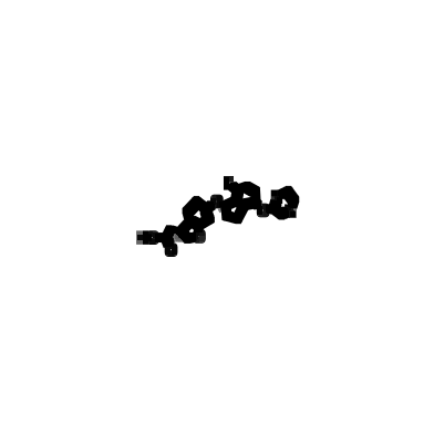 O=C(O)C[C@@H]1COc2cc(O[C@@H]3CCc4c(Oc5cnccn5)ccc(F)c43)ccc21